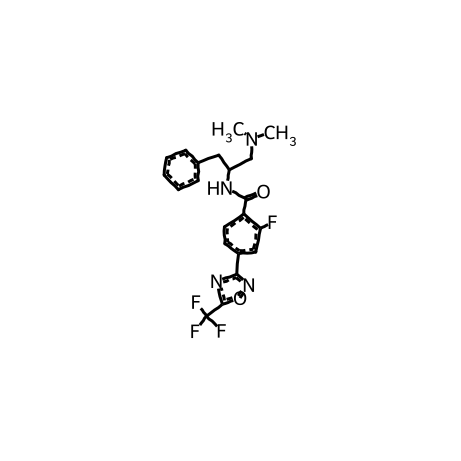 CN(C)CC(Cc1ccccc1)NC(=O)c1ccc(-c2noc(C(F)(F)F)n2)cc1F